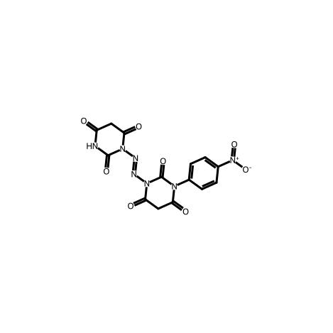 O=C1CC(=O)N(N=NN2C(=O)CC(=O)N(c3ccc([N+](=O)[O-])cc3)C2=O)C(=O)N1